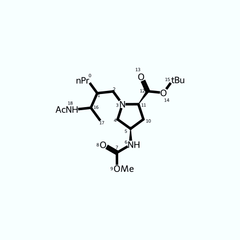 CCCC(CN1C[C@H](NC(=O)OC)C[C@@H]1C(=O)OC(C)(C)C)C(C)NC(C)=O